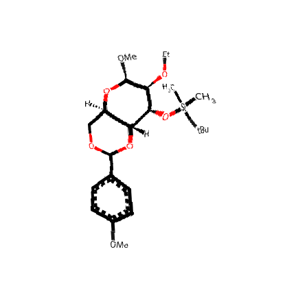 CCO[C@@H]1[C@H](OC)O[C@@H]2COC(c3ccc(OC)cc3)O[C@H]2[C@@H]1O[Si](C)(C)C(C)(C)C